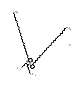 CCCCCCCCCCCCCCCCCCCCCCCCCC=CCCCc1ccccc1N=C(CCCC)C(CCCCCC)=Nc1ccccc1CCCC=CCCCCCCCCCCCCCCCCCCCCCCCCC.[Ni]